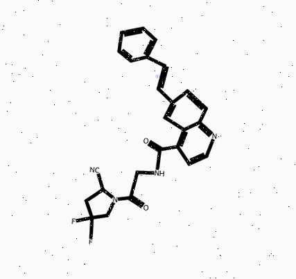 N#CC1CC(F)(F)CN1C(=O)CNC(=O)c1ccnc2ccc(/C=C/c3ccccc3)cc12